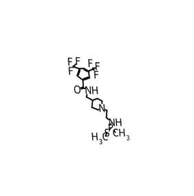 CSP(C)NCCN1CCC(CNC(=O)c2cc(C(F)(F)F)cc(C(F)(F)F)c2)CC1